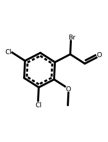 COc1c(Cl)cc(Cl)cc1C(Br)C=O